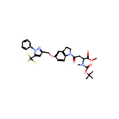 COC(=O)C(CC(=O)N1CCc2cc(OCc3cc(C(F)(F)F)n(-c4ccccc4)n3)ccc21)N(C)C(=O)OC(C)(C)C